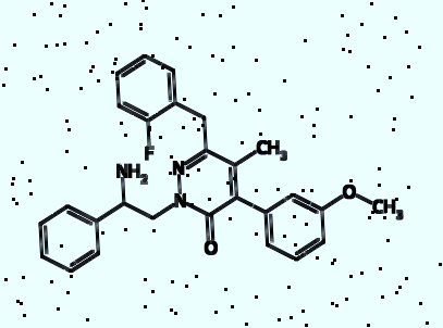 COc1cccc(-c2c(C)c(Cc3ccccc3F)nn(CC(N)c3ccccc3)c2=O)c1